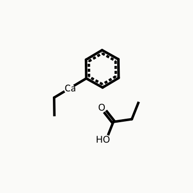 CCC(=O)O.C[CH2][Ca][c]1ccccc1